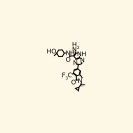 C[C@@H](C1CC1)N1Cc2cc(-c3cnc4[nH]c(N)c(C(=O)NC5CCC(C)(O)CC5)c4n3)cc(C(F)(F)F)c2C1=O